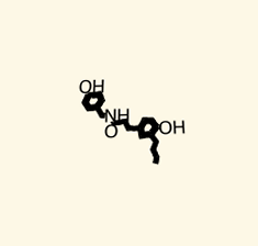 CCCCc1cc(CCC(=O)NCc2ccc(O)cc2)ccc1O